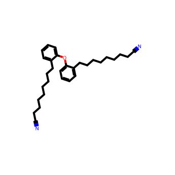 N#CCCCCCCCCc1ccccc1Oc1ccccc1CCCCCCCCC#N